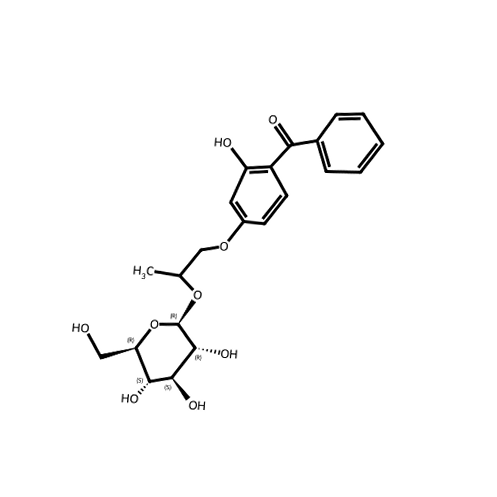 CC(COc1ccc(C(=O)c2ccccc2)c(O)c1)O[C@@H]1O[C@H](CO)[C@@H](O)[C@H](O)[C@H]1O